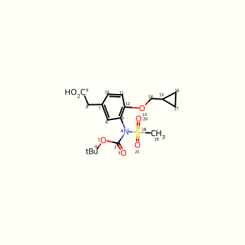 CC(C)(C)OC(=O)N(c1cc(CC(=O)O)ccc1OCC1CC1)S(C)(=O)=O